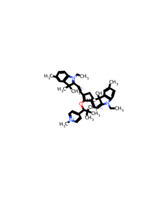 CCN1/C(=C/C=C2\CCC(/C=C/C3=[N+](CC)c4ccc(C)cc4C3(C)C)=C2OC(c2cc[n+](C)cc2)C(C)(C)C)C(C)(C)c2cc(C)ccc21